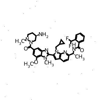 COc1cc(C(=O)N2C[C@H](N)CCN2C)cc2nc(-c3cc4ccc([C@@H](C)NC(=O)c5ccccc5C(F)F)nc4n3CC3CC3)n(C)c12